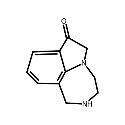 O=C1CN2CCNCc3cccc1c32